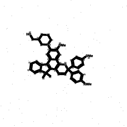 COc1ccc(C2(c3ccc(OC)cc3)C=Cc3c4c(c5cc(N6CCCC(CO)C6)c(OC)cc5c3O2)-c2ccccc2C4(C)C)cc1